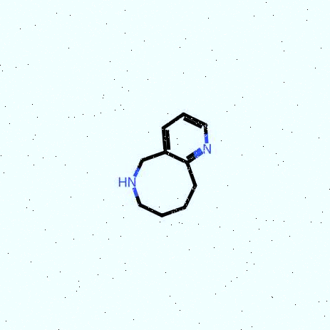 c1cnc2c(c1)CNCCCC2